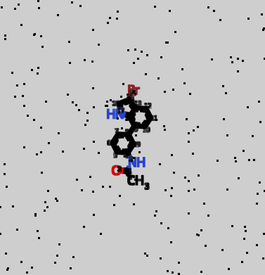 CC(=O)Nc1cccc(-c2cccc3c(Br)c[nH]c23)c1